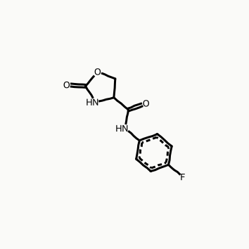 O=C1NC(C(=O)Nc2ccc(F)cc2)CO1